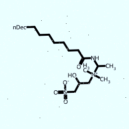 CCCCCCCCCCCCCCCCCC(=O)NC(C)[N+](C)(C)CC(O)CS(=O)(=O)[O-]